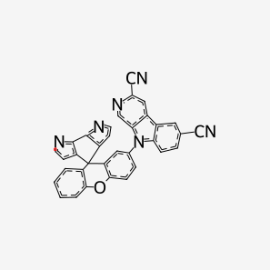 N#Cc1ccc2c(c1)c1cc(C#N)ncc1n2-c1ccc2c(c1)C1(c3ccccc3O2)c2cccnc2-c2ncccc21